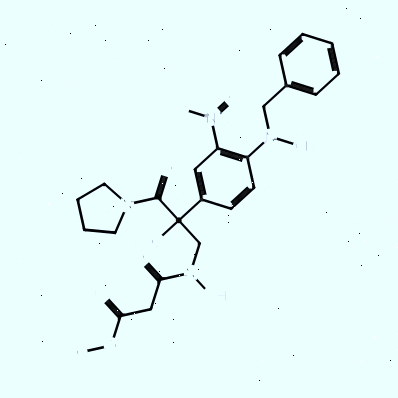 COC(=O)CC(=O)N(C)CC(C)(C(=O)N1CCCC1)c1ccc(N(C)Cc2ccccc2)c([N+](=O)[O-])c1